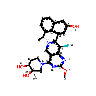 CCc1cccc2cc(O)cc(-c3ncc4c(N5CCC(O)[C@](C)(O)C5)nc(OC)nc4c3F)c12